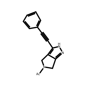 CC(=O)N1Cc2n[nH]c(C#Cc3ccccc3)c2C1